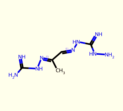 CC(/C=N/NC(=N)NN)=N\NC(=N)N